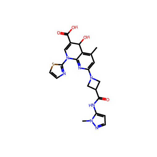 Cc1cc(N2CC(C(=O)Nc3ccnn3C)C2)nc2c1C(O)C(C(=O)O)=CN2c1nccs1